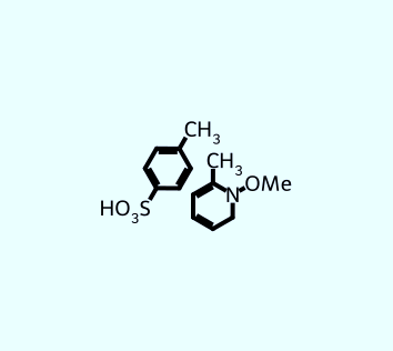 CON1CC=CC=C1C.Cc1ccc(S(=O)(=O)O)cc1